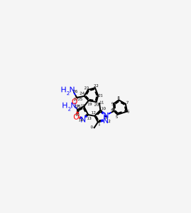 Cc1nn(-c2ccccc2)c(C)c1-c1noc(N)c1-c1ccccc1C(N)=O